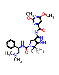 COc1cc(C(=O)Nc2n[nH]c3c2CN(C(=O)NC(CN(C)C)c2ccccc2)C3(C)C)nc(OC)n1